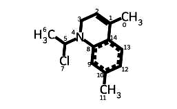 CC1=CCN(C(C)Cl)c2cc(C)ccc21